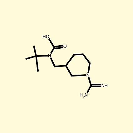 CC(C)(C)N(CC1CCCN(C(=N)N)C1)C(=O)O